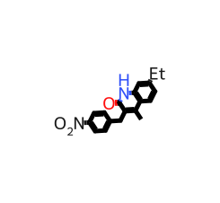 CCc1ccc2c(C)c(Cc3ccc([N+](=O)[O-])cc3)c(=O)[nH]c2c1